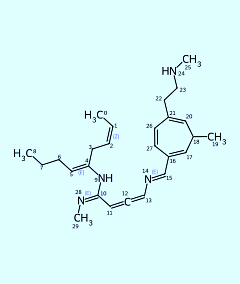 C/C=C\C/C(=C\CCC)N/C(C=C=C/N=C/C1=CC(C)C=C(CCNC)C=C1)=N/C